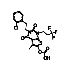 Cc1c(OC(=O)O)sc2c1c(=O)n(CCc1ccccc1Cl)c(=O)n2CCC(F)(F)F